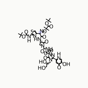 CC(C)(C)OC(=O)Nc1nc(/C(=N/OC(C)(C)C(=O)OC(C)(C)C)C(=O)N[C@H]2CN(C(=O)NS(=O)(=O)n3nc(-c4cc(=O)c(O)c[nH]4)n(C[C@H](O)CO)c3=O)C2=O)cs1